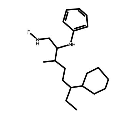 CCC(CCC(C)C(CNF)Nc1ccccc1)C1CCCCC1